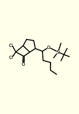 CCCCC(O[Si](C)(C)C(C)(C)C)C1CCC2C1C(=O)C2(Cl)Cl